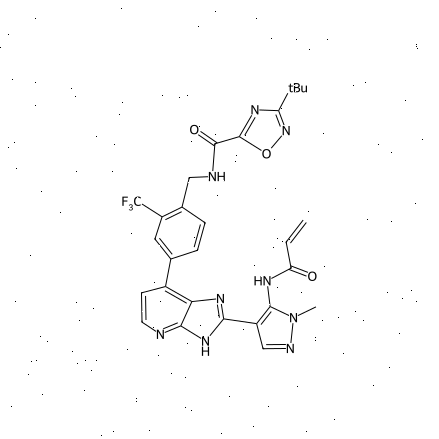 C=CC(=O)Nc1c(-c2nc3c(-c4ccc(CNC(=O)c5nc(C(C)(C)C)no5)c(C(F)(F)F)c4)ccnc3[nH]2)cnn1C